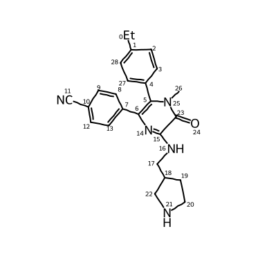 CCc1ccc(-c2c(-c3ccc(C#N)cc3)nc(NCC3CCNC3)c(=O)n2C)cc1